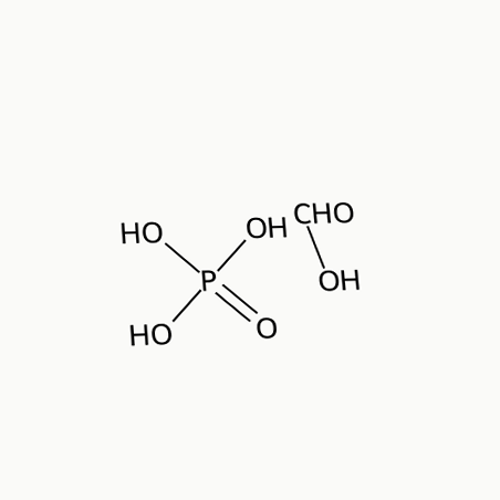 O=CO.O=P(O)(O)O